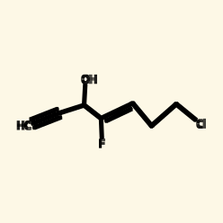 C#CC(O)/C(F)=C/CCCl